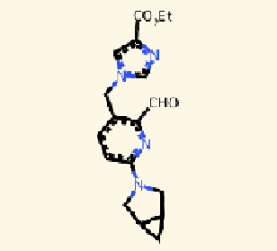 CCOC(=O)c1cn(Cc2ccc(N3CC4CC4C3)nc2C=O)cn1